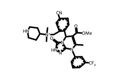 COC(=O)C1=C(C)N(c2cccc(C(F)(F)F)c2)c2n[nH]c(=O)n2C1c1ccc(C#N)cc1C[N+](C)(C)C1CCNCC1